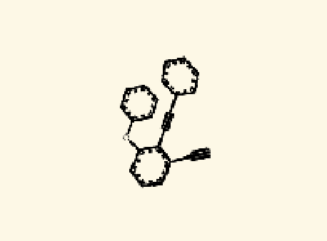 C#Cc1cccc(Oc2ccccc2)c1C#Cc1ccccc1